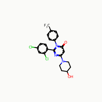 O=c1cc(N2CCC(O)CC2)nc(-c2ccc(Cl)cc2Cl)n1-c1ccc(C(F)(F)F)cc1